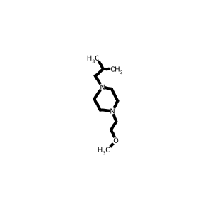 COCCN1CCN(CC(C)C)CC1